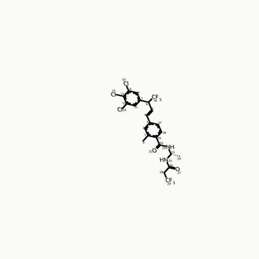 Cc1cc(/C=C/C(c2cc(Cl)c(Cl)c(Cl)c2)C(F)(F)F)ccc1C(=O)N[C@H](C)NC(=O)CC(F)(F)F